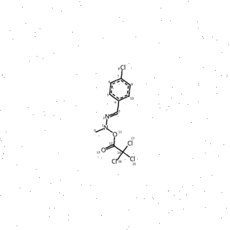 CN(N=Cc1ccc(Cl)cc1)OC(=O)C(Cl)(Cl)Cl